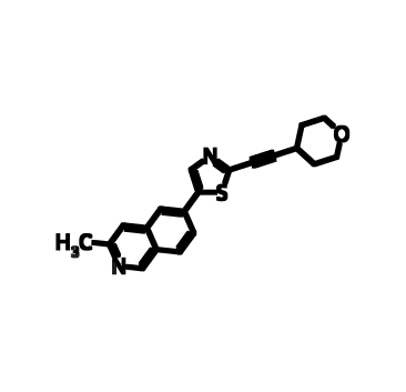 Cc1cc2cc(-c3cnc(C#CC4CCOCC4)s3)ccc2cn1